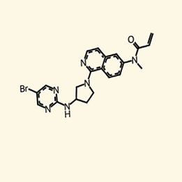 C=CC(=O)N(C)c1ccc2c(N3CCC(Nc4ncc(Br)cn4)C3)nccc2c1